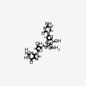 NOP(=O)(OC[C@H]1O[C@@H](n2cnc3c(=O)[nH]c(N)nc32)C[C@H]1O)O[C@@H]1C[C@H](n2cnc(N)nc2=O)O[C@@H]1CO